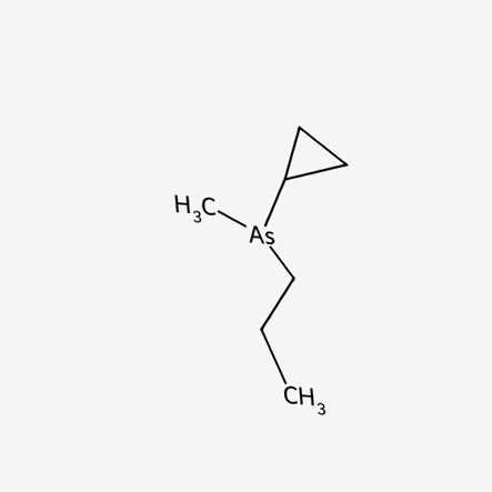 CCC[As](C)C1CC1